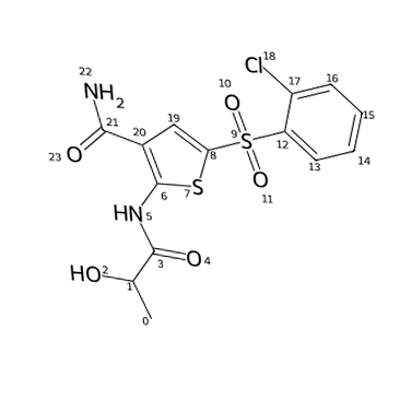 CC(O)C(=O)Nc1sc(S(=O)(=O)c2ccccc2Cl)cc1C(N)=O